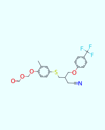 Cc1cc(SCC(CC#N)COc2ccc(C(F)(F)F)cc2)ccc1OCOC=O